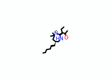 CCCC/C=C/[C@@H]1CN/C(=C(/CC)C(C)=O)N(C)C(C)(C)C1